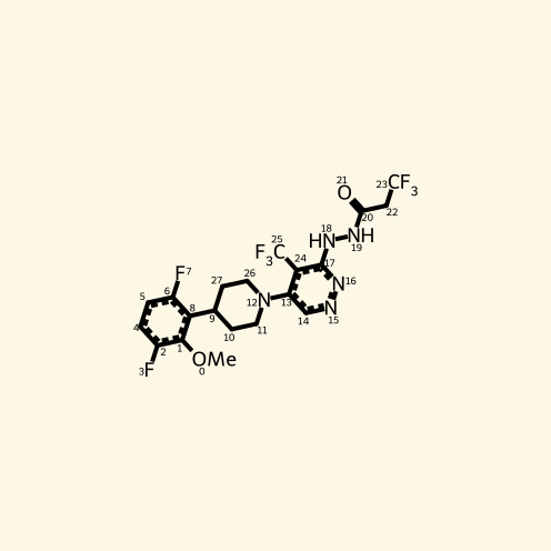 COc1c(F)ccc(F)c1C1CCN(c2cnnc(NNC(=O)CC(F)(F)F)c2C(F)(F)F)CC1